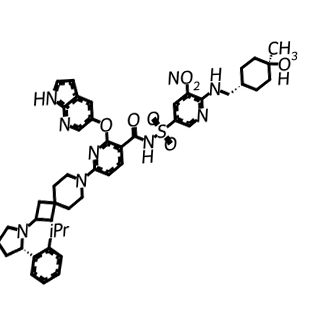 CC(C)c1ccccc1[C@@H]1CCCN1C1CC2(CCN(c3ccc(C(=O)NS(=O)(=O)c4cnc(NC[C@H]5CC[C@](C)(O)CC5)c([N+](=O)[O-])c4)c(Oc4cnc5[nH]ccc5c4)n3)CC2)C1